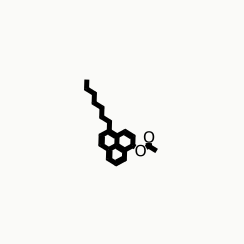 CCCCCCCc1ccc2cccc3c2c1C=CC3OC(C)=O